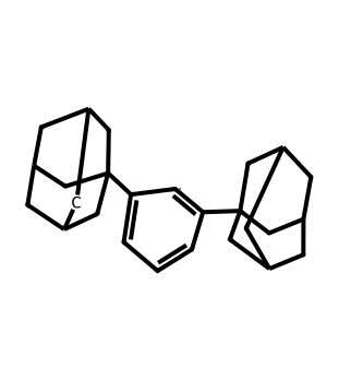 [c]1c(C23CC4CC(CC(C4)C2)C3)cccc1C12CC3CC(CC(C3)C1)C2